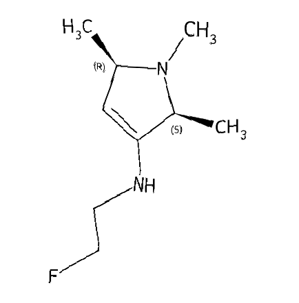 C[C@@H]1C=C(NCCF)[C@H](C)N1C